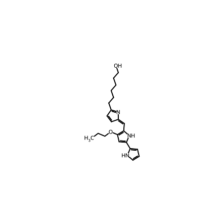 CCCOc1cc(-c2ccc[nH]2)[nH]c1/C=C1\C=CC(CCCCCCO)=N1